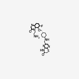 NCCn1c(=O)cnc2ccc(F)c(OC[C@H]3CC[C@H](NCc4cnc5c(n4)NC(=O)CS5)CC3)c21